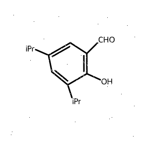 CC(C)c1cc(C=O)c(O)c(C(C)C)c1